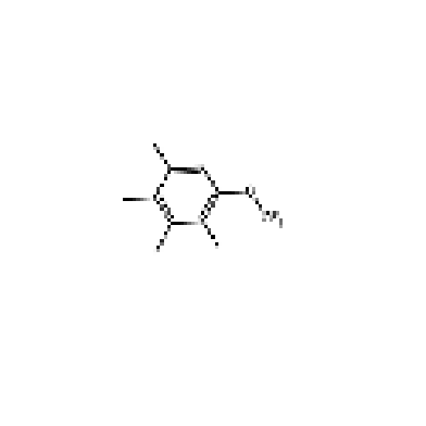 Cc1cc(OC(F)(F)F)c(C)c(C)c1C